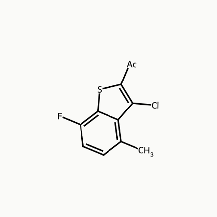 CC(=O)c1sc2c(F)ccc(C)c2c1Cl